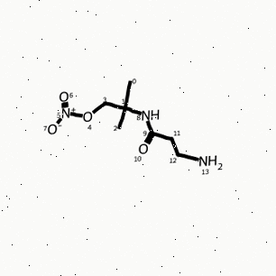 CC(C)(CO[N+](=O)[O-])NC(=O)CCN